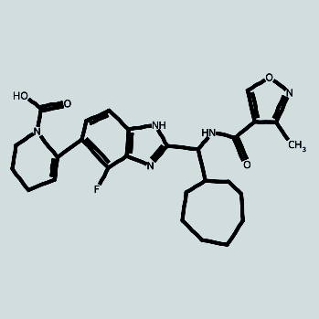 Cc1nocc1C(=O)NC(c1nc2c(F)c(C3=CCCCN3C(=O)O)ccc2[nH]1)C1CCCCCCC1